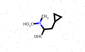 CN(C(=O)O)C(C=O)CC1CC1